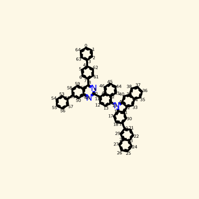 c1ccc(-c2ccc(-c3nc(-c4ccc(-n5c6ccc(-c7ccc8ccccc8c7)cc6c6cc7ccccc7cc65)c5ccccc45)nc4cc(-c5ccccc5)ccc34)cc2)cc1